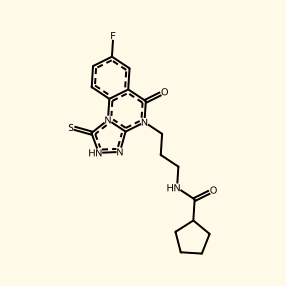 O=C(NCCCn1c(=O)c2cc(F)ccc2n2c(=S)[nH]nc12)C1CCCC1